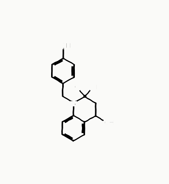 Cc1ccc(CN2c3ccccc3C(C)CC2(C)C)cc1